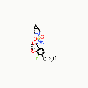 CCOc1c(C(=O)NS(=O)(=O)N2CC3CC3C2)ccc(C(=O)O)c1F